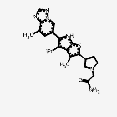 Cc1c([C@H]2CCN(CC(N)=O)C2)sc2[nH]c(-c3cc(C)c4ncnn4c3)c(C(C)C)c12